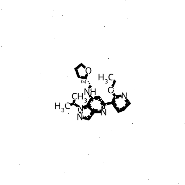 CCOc1ncccc1-c1cc(NC[C@@H]2CCCO2)c2c(cnn2C(C)C)n1